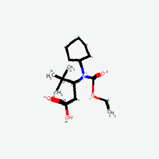 CCOC(=O)N(C1CCCCC1)C(CC(=O)O)C(C)(C)C